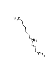 CCC=CNCCCCCCC